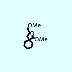 COCCCC1(C(=O)OC)CCCCC1